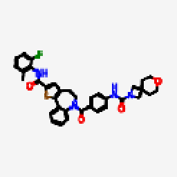 Cc1cccc(F)c1NC(=O)c1cc2c(s1)-c1ccccc1N(C(=O)c1ccc(NC(=O)N3CC4(CCOCC4)C3)cc1)CC2